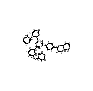 c1ccc2cc(-c3ccc(-c4nc(-c5cccc6sc7ccccc7c56)nc(-c5cccc6sc7ccccc7c56)n4)cc3)ccc2c1